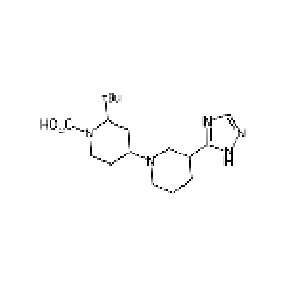 CC(C)(C)C1CC(N2CCCC(c3ncn[nH]3)C2)CCN1C(=O)O